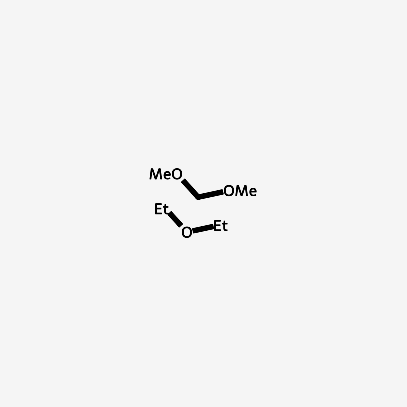 CCOCC.COCOC